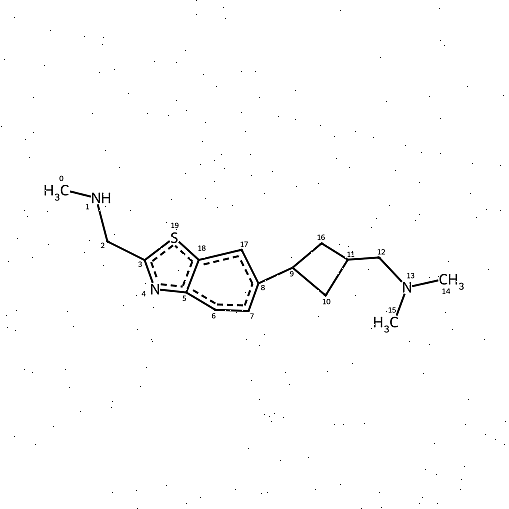 CNCc1nc2ccc(C3CC(CN(C)C)C3)cc2s1